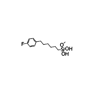 CO[Si](O)(O)CCCCCCc1ccc(F)cc1